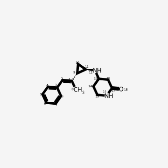 C/C(=C\c1ccccc1)[C@@H]1C[C@H]1NC1CCNC(=O)C1